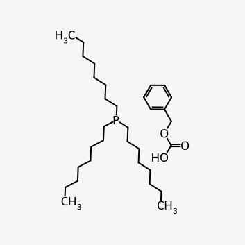 CCCCCCCCP(CCCCCCCC)CCCCCCCC.O=C(O)OCc1ccccc1